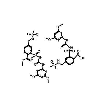 COC(=O)c1ccc(CNS(C)(=O)=O)cc1S(=O)(=O)NC(=O)Nc1nc(OC)cc(OC)n1.COc1cc(OC)nc(NC(=O)NS(=O)(=O)c2cc(CNS(C)(=O)=O)ccc2C(=O)O)n1